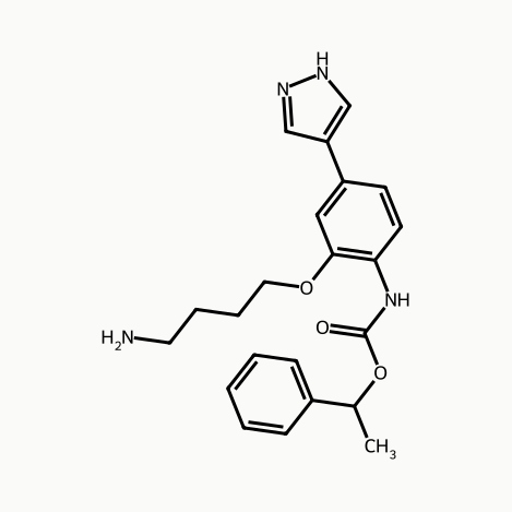 CC(OC(=O)Nc1ccc(-c2cn[nH]c2)cc1OCCCCN)c1ccccc1